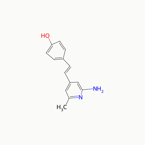 Cc1cc(/C=C/c2ccc(O)cc2)cc(N)n1